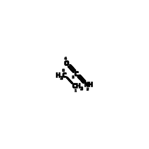 CC.N=C=O